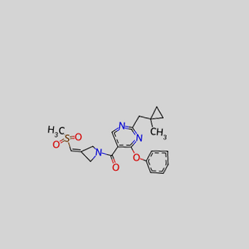 CC1(Cc2ncc(C(=O)N3CC(=CS(C)(=O)=O)C3)c(Oc3ccccc3)n2)CC1